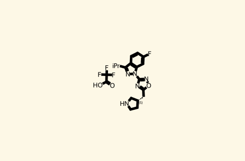 CC(C)c1nn(-c2noc(C[C@@H]3CCNC3)n2)c2cc(F)ccc12.O=C(O)C(F)(F)F